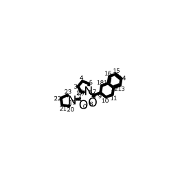 O=C([C@@H]1CCCN1C(=O)C1CCc2ccccc2C1)N1CCCC1